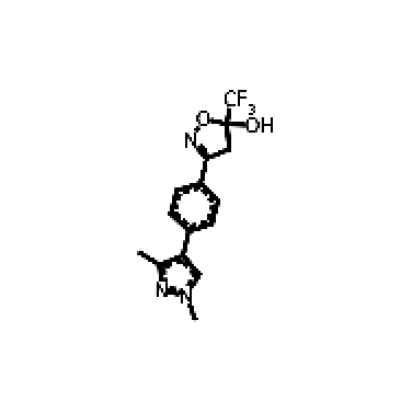 Cc1nn(C)cc1-c1ccc(C2=NOC(O)(C(F)(F)F)C2)cc1